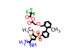 CSc1sc(C(=N)N)cc1S(=O)(=O)c1cccc(-c2c(C)cccc2COCC(=O)OC(=O)C(F)(F)F)c1